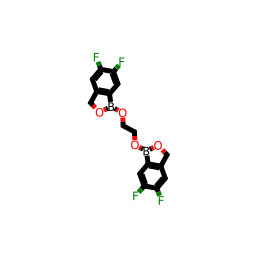 Fc1cc2c(cc1F)B(OCCOB1OCc3cc(F)c(F)cc31)OC2